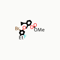 CCc1cc(Br)c(OCc2c(OC(=O)OC)cccc2C2CC2)cc1F